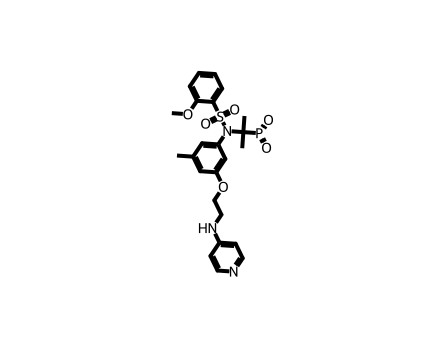 COc1ccccc1S(=O)(=O)N(c1cc(C)cc(OCCNc2ccncc2)c1)C(C)(C)P(=O)=O